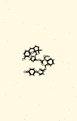 CC1(C)CCC(Cc2ccc(Cl)cc2)C1(O)Cn1cncn1.COC(=O)N(OC)c1ccccc1COc1ccn(-c2ccc(Cl)cc2)n1